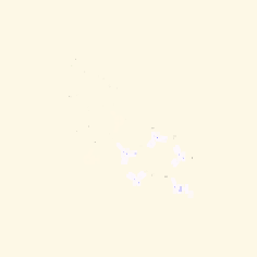 CC(O)C(Oc1ccc(Cl)cc1)n1cnc2c(N)ncnc21